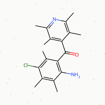 Cc1nc(C)c(C)c(C(=O)c2c(C)c(Cl)c(C)c(C)c2N)c1C